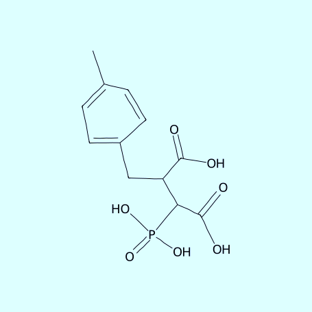 Cc1ccc(CC(C(=O)O)C(C(=O)O)P(=O)(O)O)cc1